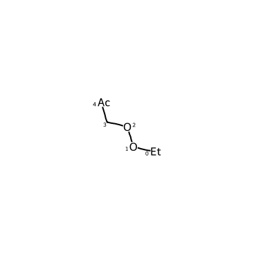 CCOOCC(C)=O